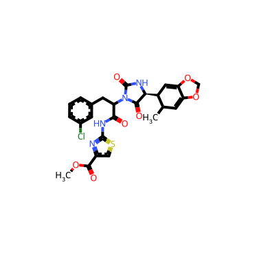 COC(=O)c1csc(NC(=O)C(Cc2cccc(Cl)c2)N2C(=O)N[C@@H](C3C=C4OCOC4=CC3C)C2=O)n1